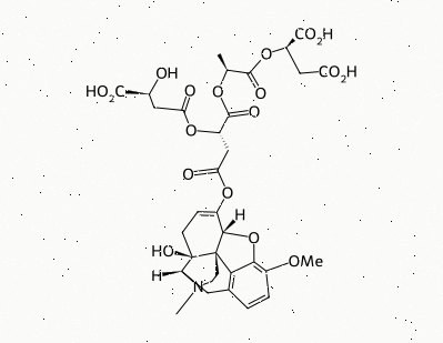 COc1ccc2c3c1O[C@H]1C(OC(=O)C[C@H](OC(=O)C[C@H](O)C(=O)O)C(=O)O[C@@H](C)C(=O)O[C@H](CC(=O)O)C(=O)O)=CC[C@@]4(O)[C@@H](C2)N(C)CC[C@]314